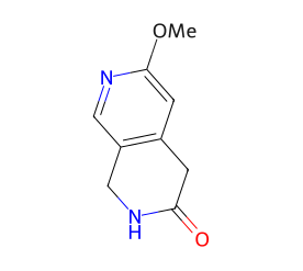 COc1cc2c(cn1)CNC(=O)C2